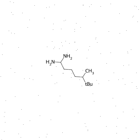 CC(CCCC(N)N)C(C)(C)C